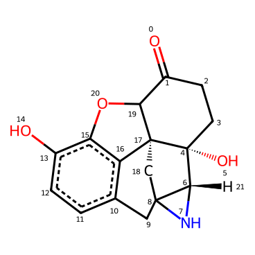 O=C1CC[C@@]2(O)[C@@H]3NC34Cc3ccc(O)c5c3[C@@]2(C4)C1O5